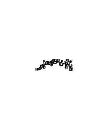 CC1(C)CC(Nc2cccc(-c3sc(C(=O)O)c(OCC(=O)O)c3Cl)c2F)CCN1S(=O)(=O)Cc1ccc(F)c(NC(=O)C2CNC2)c1